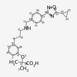 CC(C)(Oc1cccc(CCCNCc2ccc(-c3noc(C4CC4)n3)cc2)c1)C(=O)O